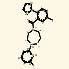 Cc1ccc(-n2nccn2)c(C(=O)N2CCON(c3cccc(C(F)(F)F)n3)CC2)c1